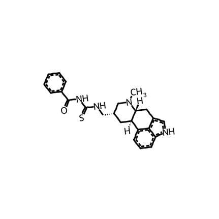 CN1C[C@@H](CNC(=S)NC(=O)c2ccccc2)C[C@@H]2c3cccc4[nH]cc(c34)C[C@H]21